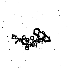 CCN(C)C(=O)CS(=O)(=O)NC(=O)Nc1c2c(cc3c1CCC3)CCC2